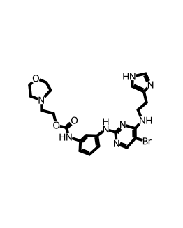 O=C(Nc1cccc(Nc2ncc(Br)c(NCCc3c[nH]cn3)n2)c1)OCCN1CCOCC1